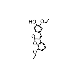 CCOc1cc(C=C2C(=O)Oc3c(OCC)cccc32)ccc1O